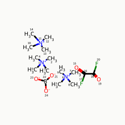 C[N+](C)(C)C.C[N+](C)(C)C.C[N+](C)(C)C.O=C(F)C(=O)F.[O-]B([O-])[O-]